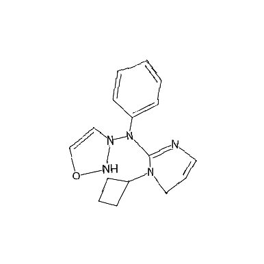 C1=CN=C(N(c2ccccc2)N2C=CON2)N(C2CCC2)C1